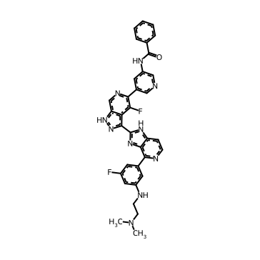 CN(C)CCNc1cc(F)cc(-c2nccc3[nH]c(-c4n[nH]c5cnc(-c6cncc(NC(=O)c7ccccc7)c6)c(F)c45)nc23)c1